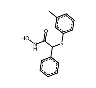 Cc1cccc(SC(C(=O)NO)c2ccccc2)c1